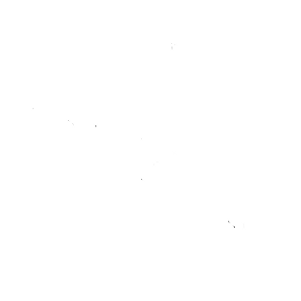 CC(C)NCCCN(C(=O)O)c1cccc(Cn2nc(-c3cc(F)cc(F)c3)ccc2=O)c1